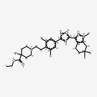 CCOC(=O)C1(F)CCN(CCc2c(C)cc(-c3noc(-c4nn(C)c5c4CCC(C)(C)C5)n3)cc2C)CC1